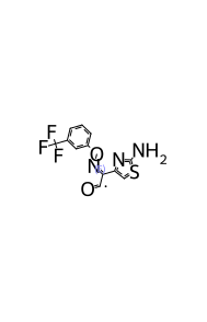 Nc1nc(/C([C]=O)=N\Oc2cccc(C(F)(F)F)c2)cs1